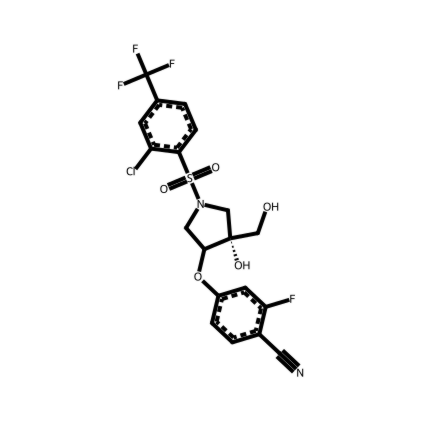 N#Cc1ccc(OC2CN(S(=O)(=O)c3ccc(C(F)(F)F)cc3Cl)C[C@@]2(O)CO)cc1F